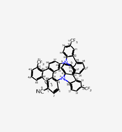 N#Cc1ccc(-n2c3ccccc3c3cc(C(F)(F)F)ccc32)c(-c2cc(-n3c4ccccc4c4cc(C(F)(F)F)ccc43)ccc2-c2c(C(F)(F)F)cccc2C(F)(F)F)c1